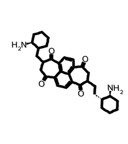 N[C@H]1CCCCC1CC1CC(=O)c2ccc3c4c(ccc(c24)C1=O)C(=O)CC(CC[C@H]1CCCC[C@@H]1N)C3=O